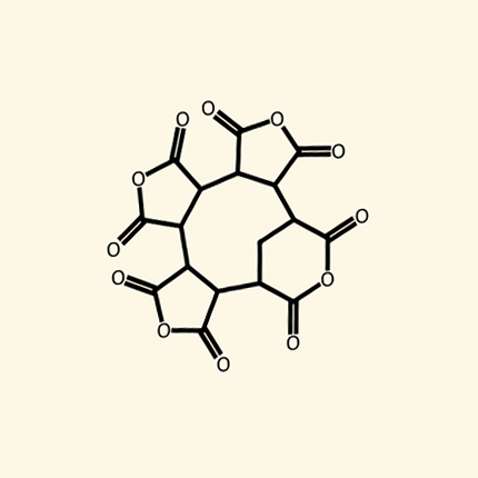 O=C1OC(=O)C2CC1C1C(=O)OC(=O)C1C1C(=O)OC(=O)C1C1C(=O)OC(=O)C21